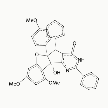 COc1ccc([C@@]23Oc4cc(OC)cc(OC)c4[C@]2(O)c2nc(-c4ccccc4)[nH]c(=O)c2[C@H]3c2ccccc2)cc1